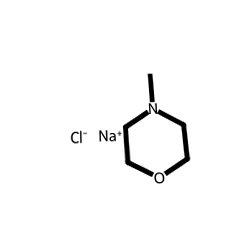 CN1CCOCC1.[Cl-].[Na+]